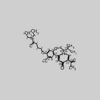 CCN(CC)C(=O)CCCOc1cc2c(cc1Cl)-c1cc(=O)c(C(C)=O)cn1[C@H](C(C)C)CO2